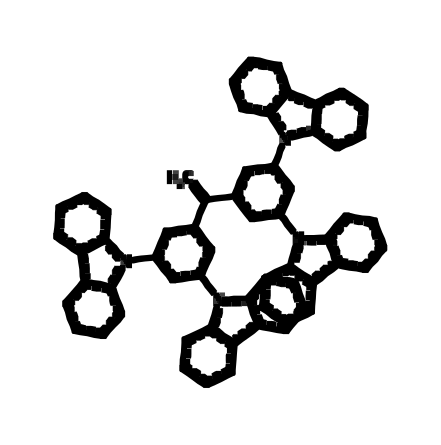 C=C(c1cc(-n2c3ccccc3c3ccccc32)cc(-n2c3ccccc3c3ccccc32)c1)c1cc(-n2c3ccccc3c3ccccc32)cc(-n2c3ccccc3c3ccccc32)c1